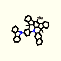 CC(C)(C)c1c2c(c(N(c3ccc(-n4c5ccccc5c5ccccc54)cc3)c3ccc4ccccc4c3)c3c1-c1ccccc1C3(C)C)C(C)(C)c1ccccc1-2